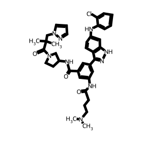 CN(C)CCCC(=O)Nc1cc(C(=O)NC2CCN(C(=O)C(C)(C)Cn3cccn3)C2)cc(-c2n[nH]c3cc(Nc4ccccc4Cl)ccc23)c1